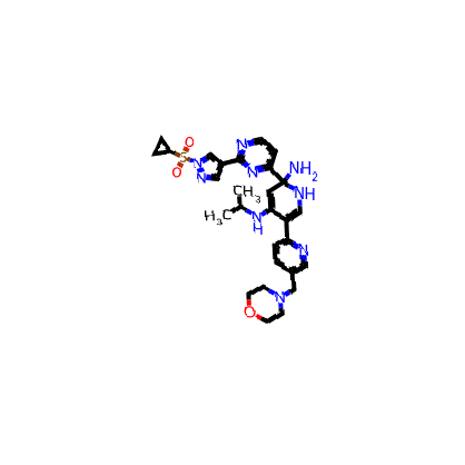 CC(C)NC1=CC(N)(c2ccnc(-c3cnn(S(=O)(=O)C4CC4)c3)n2)NC=C1c1ccc(CN2CCOCC2)cn1